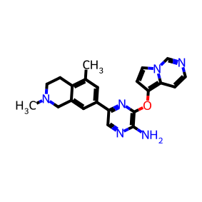 Cc1cc(-c2cnc(N)c(Oc3ccn4cnccc34)n2)cc2c1CCN(C)C2